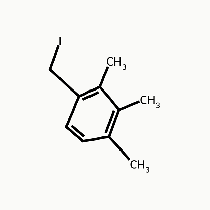 Cc1ccc(CI)c(C)c1C